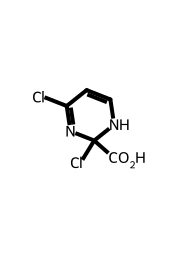 O=C(O)C1(Cl)N=C(Cl)C=CN1